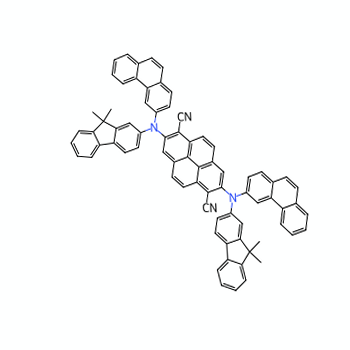 CC1(C)c2ccccc2-c2ccc(N(c3ccc4ccc5ccccc5c4c3)c3cc4ccc5c(C#N)c(N(c6ccc7c(c6)C(C)(C)c6ccccc6-7)c6ccc7ccc8ccccc8c7c6)cc6ccc(c3C#N)c4c65)cc21